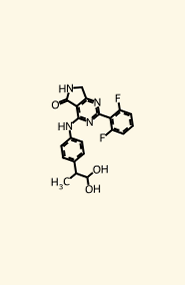 CC(c1ccc(Nc2nc(-c3c(F)cccc3F)nc3c2C(=O)NC3)cc1)C(O)O